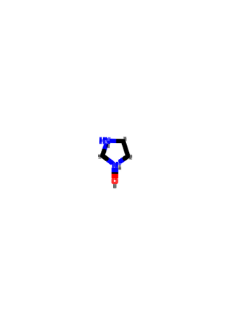 O=[N+]1CCNC1